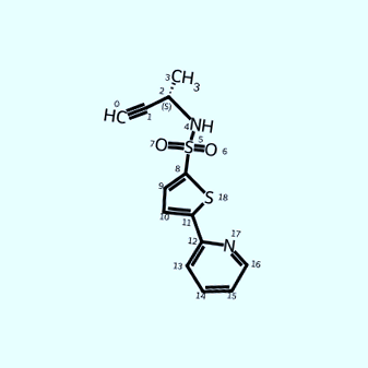 C#C[C@H](C)NS(=O)(=O)c1ccc(-c2ccccn2)s1